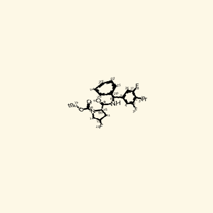 CC(C)c1c(F)cc(C(NC(=O)[C@H]2CC(F)CN2C(=O)OC(C)(C)C)c2ccccc2)cc1F